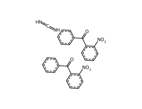 N=C=N.O=C(c1ccccc1)c1ccccc1[N+](=O)[O-].O=C(c1ccccc1)c1ccccc1[N+](=O)[O-]